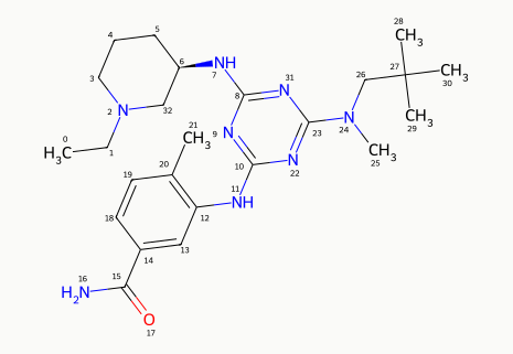 CCN1CCC[C@@H](Nc2nc(Nc3cc(C(N)=O)ccc3C)nc(N(C)CC(C)(C)C)n2)C1